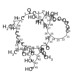 C=C1C[C@H]2CCC(=O)CC3C[C@@H]4[C@H](O)[C@@H]5OOOOOCCCCC[C@H](CC[C@H]5C[C@@H]4[C@H]3O)CC(=O)C[C@@H]3[C@@H](OC)[C@@H](C[C@H](O)CO)O[C@H]3C[C@H]3C[C@@H](CC[C@H]1C2)C[C@@H](C)C3=C